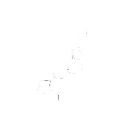 Cn1ncc(C(=O)O)c1C(=O)Nc1ccn2nc(N3CCCC3)nc2c1